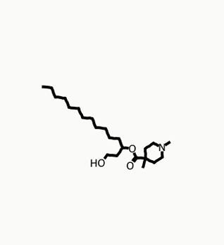 CCCCCCCCCCCCC(CCO)OC(=O)C1(C)CCN(C)CC1